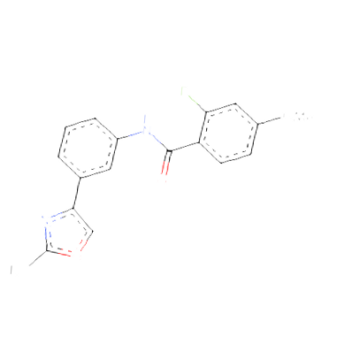 COc1ccc(C(=O)Nc2cccc(-c3coc(C)n3)c2)c(F)c1